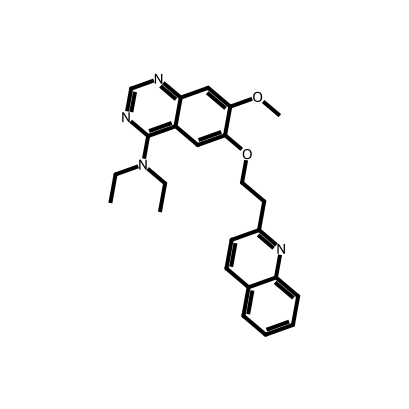 CCN(CC)c1ncnc2cc(OC)c(OCCc3ccc4ccccc4n3)cc12